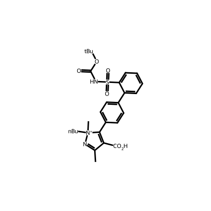 CCCC[N+]1(C)N=C(C)C(C(=O)O)=C1c1ccc(-c2ccccc2S(=O)(=O)NC(=O)OC(C)(C)C)cc1